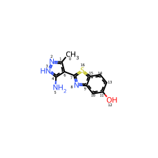 Cc1n[nH]c(N)c1-c1nc2cc(O)ccc2s1